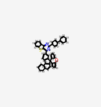 C1=Cc2c(ccc3c2-c2ccc(-c4nc(-c5ccc(-c6ccccc6)cc5)nc5c4sc4ccccc45)cc2C32c3ccccc3Oc3ccccc32)CC1